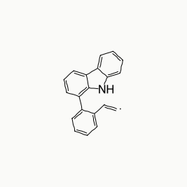 [CH]=Cc1ccccc1-c1cccc2c1[nH]c1ccccc12